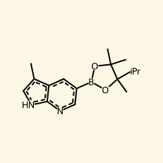 Cc1c[nH]c2ncc(B3OC(C)(C)C(C)(C(C)C)O3)cc12